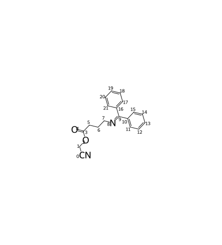 N#CCOC(=O)CCCN=C(c1ccccc1)c1ccccc1